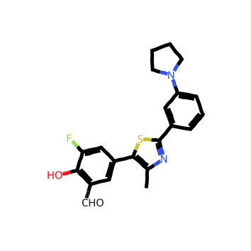 Cc1nc(-c2cccc(N3CCCC3)c2)sc1-c1cc(F)c(O)c(C=O)c1